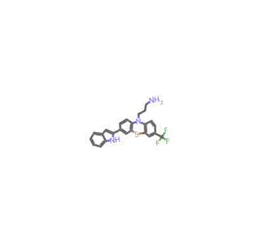 NCCCN1c2ccc(-c3cc4ccccc4[nH]3)cc2Sc2cc(C(F)(F)F)ccc21